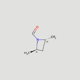 C[C@@H]1C[C@@H](C)N1C=O